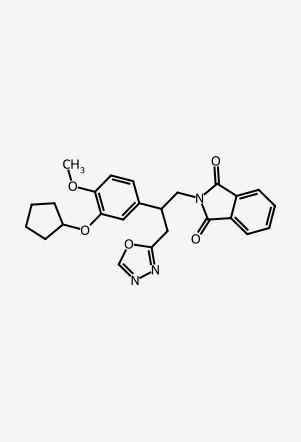 COc1ccc(C(Cc2nnco2)CN2C(=O)c3ccccc3C2=O)cc1OC1CCCC1